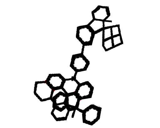 CC1(c2ccccc2)c2ccccc2-c2c(N(c3ccc(-c4ccc5c(c4)C4(C6CC7CC8CC4C786)C4(C)C=CC=CC54)cc3)c3ccccc3-c3cccc4c3C(C3CCCCC3)CC=C4)cccc21